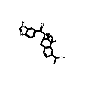 CC(O)c1ccc2c(c1)C1(C)CCN(C(=O)c3ccc4nc[nH]c4c3)C(C2)C1(C)C